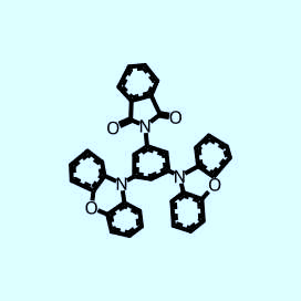 O=C1c2ccccc2C(=O)N1c1cc(N2c3ccccc3Oc3ccccc32)cc(N2c3ccccc3Oc3ccccc32)c1